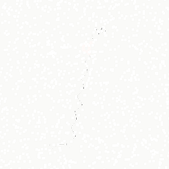 CSCOCCCCCCCCCCCC=O